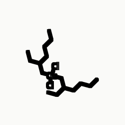 CCCCC(CC)[CH2][Ge]([Cl])([Cl])[CH2]C(CC)CCCC